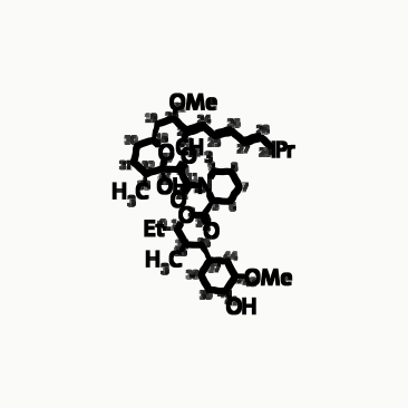 CC[C@H](OC(=O)[C@@H]1CCCCN1C(=O)C(=O)[C@]1(O)O[C@H](C[C@H](OC)/C(C)=C/C=C/C=C/C(C)C)CC[C@H]1C)[C@H](C)C[C@@H]1CC[C@@H](O)[C@H](OC)C1